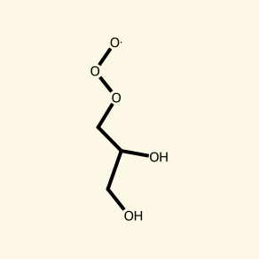 [O]OOCC(O)CO